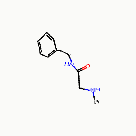 CC(C)NCC(=O)N[CH]c1ccccc1